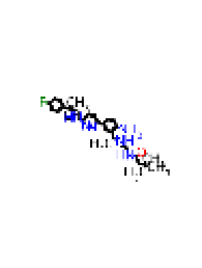 C=C(NCCNC(=O)CC(C)(C)C)c1cc(-c2ccc(NCC(C)(C)c3ccc(F)cc3)nn2)ccc1N